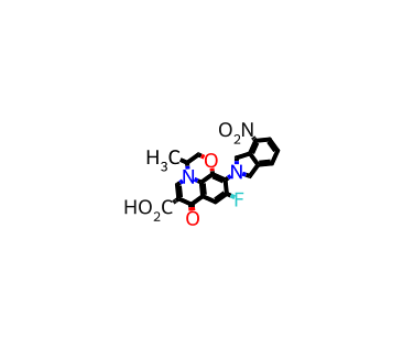 CC1COc2c(N3Cc4cccc([N+](=O)[O-])c4C3)c(F)cc3c(=O)c(C(=O)O)cn1c23